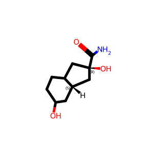 NC(=O)[C@@]1(O)CC2CCC(O)C[C@H]2C1